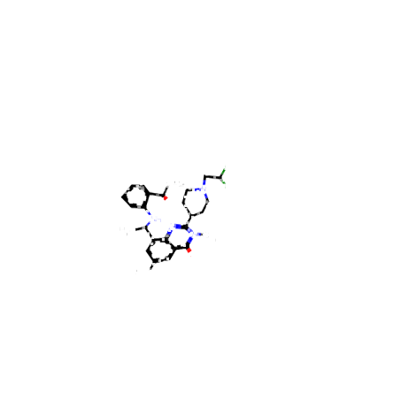 COC(=O)c1ccccc1NC(C)c1cc(C)cc2c(=O)n(C)c(C3CCN(CC(F)F)CC3)nc12